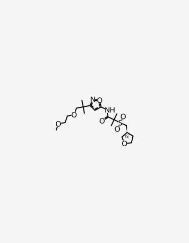 COCCOCC(C)(C)c1cc(NC(=O)C(C)(C)S(=O)(=O)C[C@H]2CCOC2)on1